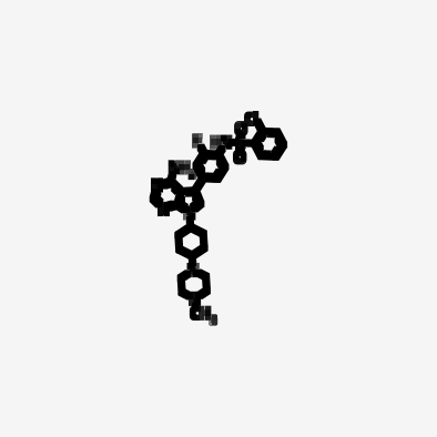 CN1CCN(C2CCC(n3cc(-c4ccc(NS(=O)(=O)c5ccccc5Cl)c(F)c4)c4c(N)ncnc43)CC2)CC1